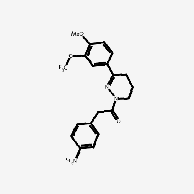 COc1ccc(C2=NN(C(=O)Cc3ccc(N)cc3)CCC2)cc1OC(F)(F)F